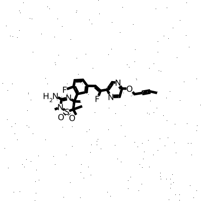 CC#CCOc1cnc(C(F)=Cc2ccc(F)c(C3(C)N=C(N)N(C)S(=O)(=O)C3(C)C)c2)cn1